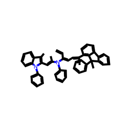 C=C/C(=C\C=C(/C)c1cccc2c1C(C)(c1ccccc1)c1ccccc1-2)N(/C(C)=C/c1c(C)c2ccccc2n1-c1ccccc1)c1ccccc1